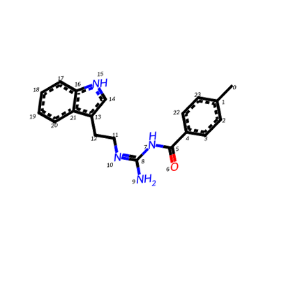 Cc1ccc(C(=O)NC(N)=NCCc2c[nH]c3ccccc23)cc1